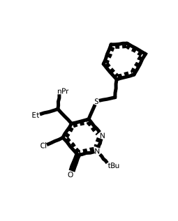 CCCC(CC)c1c(SCc2ccccc2)nn(C(C)(C)C)c(=O)c1Cl